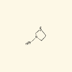 CCCN1CCSC1